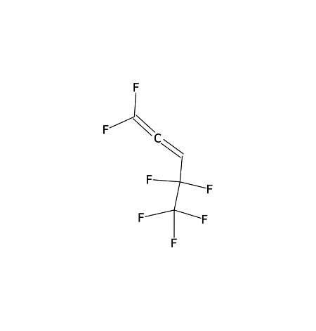 FC(F)=C=CC(F)(F)C(F)(F)F